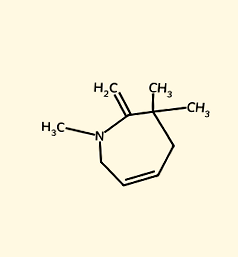 C=C1N(C)CC=CCC1(C)C